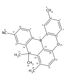 Cc1ccc2c(c1)B1c3ccc(C#N)cc3C(C)(C)c3c(C)ccc(c31)O2